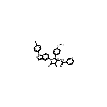 COc1ccc(C2[C@@H](NC(=O)c3cccnc3)C(C)C(=O)N2c2ccc3c(cnn3-c3ccc(F)cc3)c2)cc1